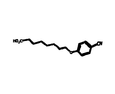 N#Cc1ccc(OCCCCCCCC(=O)O)cc1